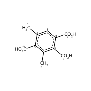 Cc1cc(C(=O)O)c(C(=O)O)c(C)c1C(=O)O